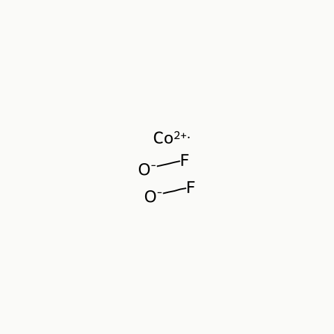 [Co+2].[O-]F.[O-]F